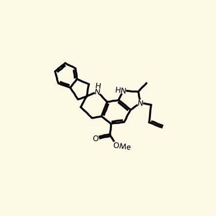 C=CCN1c2cc(C(=O)OC)c3c(c2NC1C)NC1(CC3)Cc2ccccc2C1